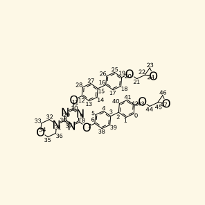 c1cc(-c2ccc(Oc3nc(Oc4ccc(-c5ccc(OCC6CO6)cc5)cc4)nc(N4CCOCC4)n3)cc2)ccc1OCC1CO1